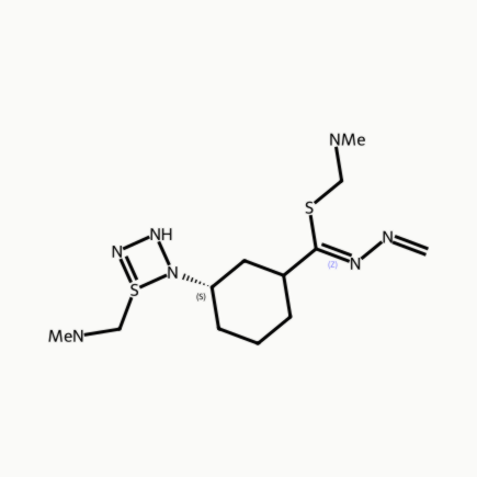 C=N/N=C(\SCNC)C1CCC[C@H](N2NN=S2CNC)C1